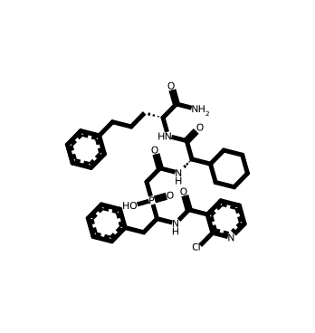 NC(=O)[C@@H](CCCc1ccccc1)NC(=O)[C@@H](NC(=O)CP(=O)(O)C(Cc1ccccc1)NC(=O)c1cccnc1Cl)C1CCCCC1